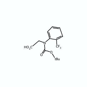 CC(C)(C)OC(=O)N(CC(=O)O)c1ccccc1C(F)(F)F